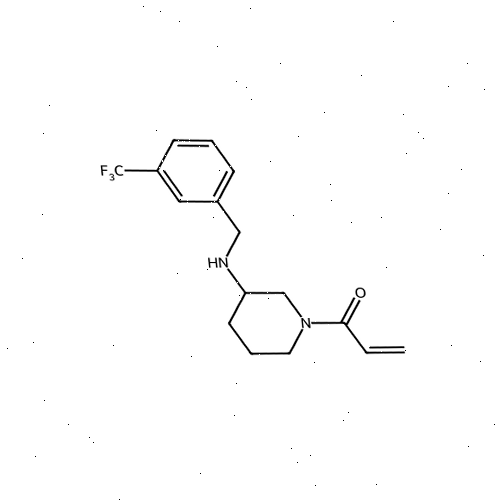 C=CC(=O)N1CCCC(NCc2cccc(C(F)(F)F)c2)C1